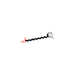 CCC(C)CCCCCCCC/C=C/CCCC(=O)O